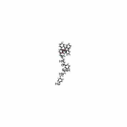 O=C(CNCCc1ccc(O)cc1)Nc1cccc(C(=O)CNCCN2CCC(OC(=O)N(c3ccccc3-c3ccccc3)c3ccccc3-c3ccccc3)CC2)c1